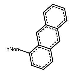 CCCCCCCCCc1cccc2cc3ccccc3cc12